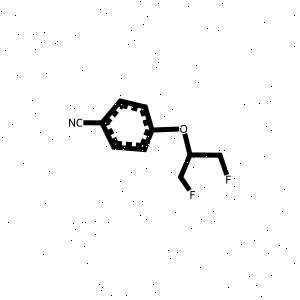 N#Cc1ccc(OC(CF)CF)cc1